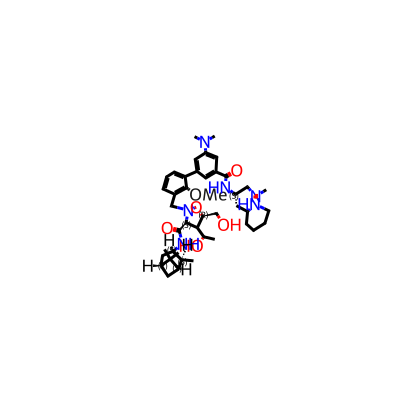 COc1c(CN2O[C@@H](CO)C(C(C)O)[C@H]2C(=O)N[C@H]2C[C@H]3C[C@@H]([C@@H]2C)C3(C)C)cccc1-c1cc(C(=O)N[C@@H](CC2CCCCN2)CN(C)C)cc(N(C)C)c1